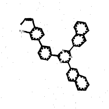 C/C=C\c1ccc(-c2cccc(-c3nc(-c4ccc5ccccc5c4)nc(-c4ccc5ccccc5c4)n3)c2)cc1N